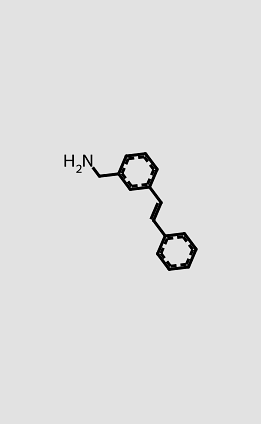 NCc1cccc(C=Cc2ccccc2)c1